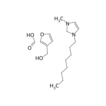 CCCCCCCCN1C=CN(C)C1.O=CO.OCc1ccoc1